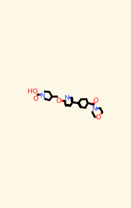 O=C(O)N1CCC(COc2ccc(C3=CCC(C(=O)N4CCOCC4)CC3)cn2)CC1